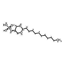 CCCCCCCCCCC[C@H]1OC[C@@H](OS(=O)(=O)O)CO1